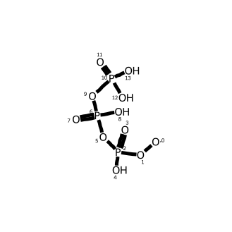 [O]OP(=O)(O)OP(=O)(O)OP(=O)(O)O